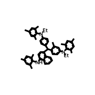 CCN(c1ccc(C(c2ccc(N(CC)c3c(C)cc(C)cc3C)cc2C)c2ccc(Nc3c(C)cc(C)cc3C)c3ccccc23)cc1)c1c(C)cc(C)cc1C